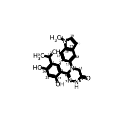 CC(C)c1cc(C2=NNC(=O)CN2c2ccc3c(ccn3C)c2)c(O)cc1O